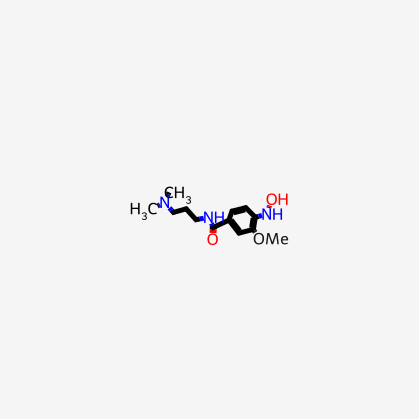 COc1cc(C(=O)NCCCN(C)C)ccc1NO